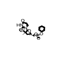 C[C@@]1(Cl)C[C@@H](CO[PH](=O)Oc2ccccc2)O[C@H]1n1ccc(=O)[nH]c1=O